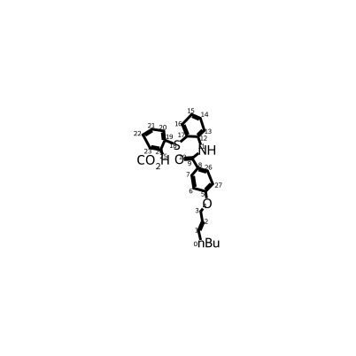 CCCCC=CCOc1ccc(C(=O)Nc2ccccc2Sc2ccccc2C(=O)O)cc1